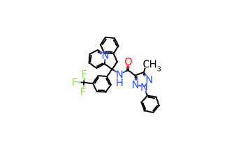 Cc1nn(-c2ccccc2)nc1C(=O)NC(Cc1ccccc1)(c1cccc(C(F)(F)F)c1)c1ccccn1